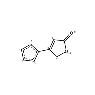 O=C1C=C(c2cccs2)CO1